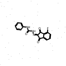 O=C(NN=c1c(=O)c2cccc(F)c2c1=O)Nc1ccccc1